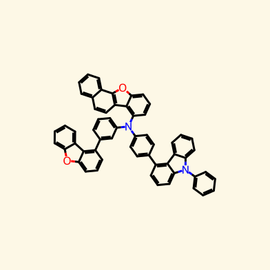 c1ccc(-n2c3ccccc3c3c(-c4ccc(N(c5cccc(-c6cccc7oc8ccccc8c67)c5)c5cccc6oc7c8ccccc8ccc7c56)cc4)cccc32)cc1